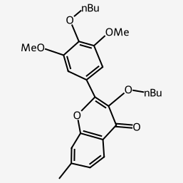 CCCCOc1c(OC)cc(-c2oc3cc(C)ccc3c(=O)c2OCCCC)cc1OC